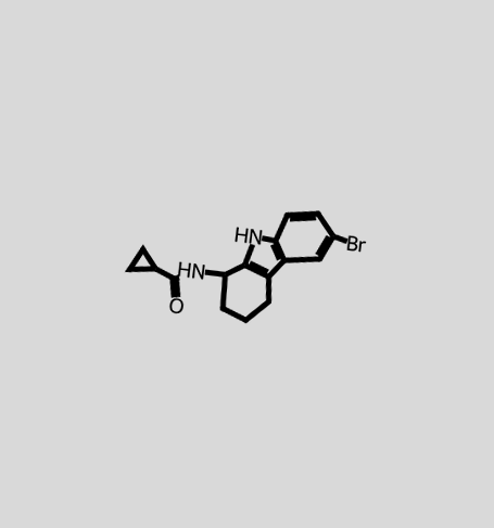 O=C(NC1CCCc2c1[nH]c1ccc(Br)cc21)C1CC1